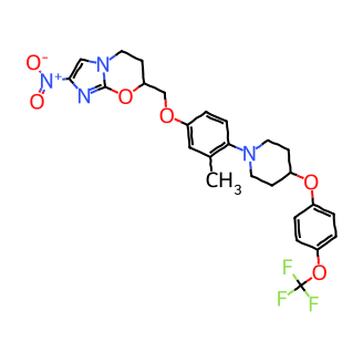 Cc1cc(OCC2CCn3cc([N+](=O)[O-])nc3O2)ccc1N1CCC(Oc2ccc(OC(F)(F)F)cc2)CC1